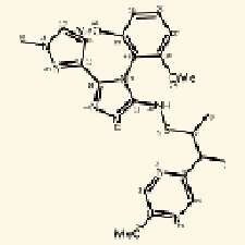 COc1cnc(C(C)C(C)SNc2nnc(-c3ccn(C)n3)n2-c2c(OC)cccc2OC)cn1